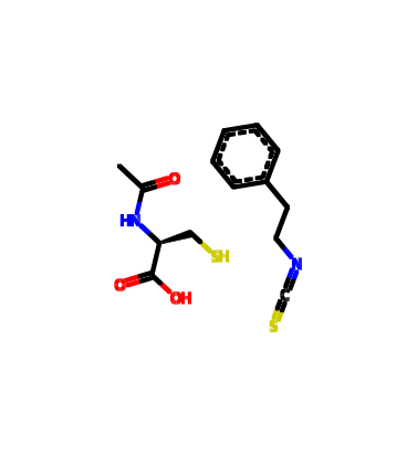 CC(=O)N[C@@H](CS)C(=O)O.S=C=NCCc1ccccc1